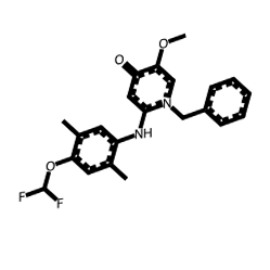 COc1cn(Cc2ccccc2)c(Nc2cc(C)c(OC(F)F)cc2C)cc1=O